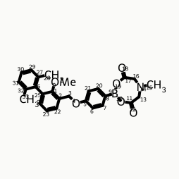 COc1c(COc2ccc(B3OC(=O)CN(C)CC(=O)O3)cc2)cccc1-c1c(C)cccc1C